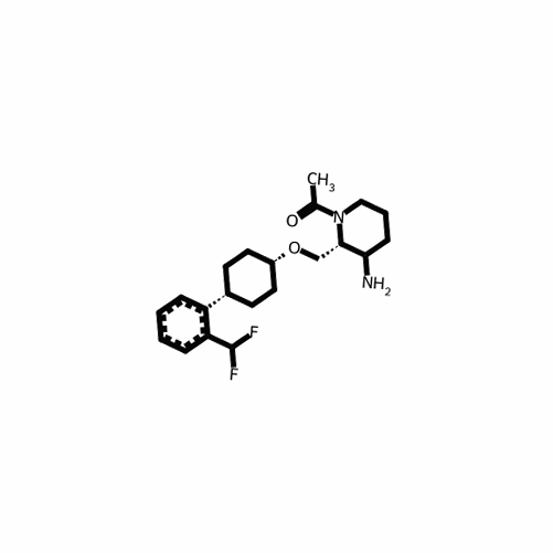 CC(=O)N1CCCC(N)[C@@H]1CO[C@H]1CC[C@@H](c2ccccc2C(F)F)CC1